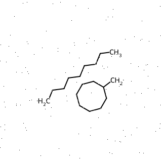 [CH2]C1CCCCCCC1.[CH2]CCCCCCCC